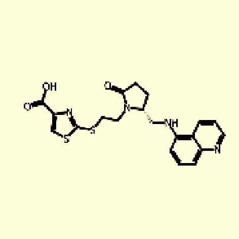 O=C(O)c1csc(SCCN2C(=O)CC[C@@H]2CNc2cccc3ncccc23)n1